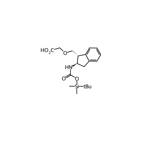 CC(C)(C)[Si](C)(C)OC(=O)N[C@@H]1Cc2ccccc2[C@H]1COCC(=O)O